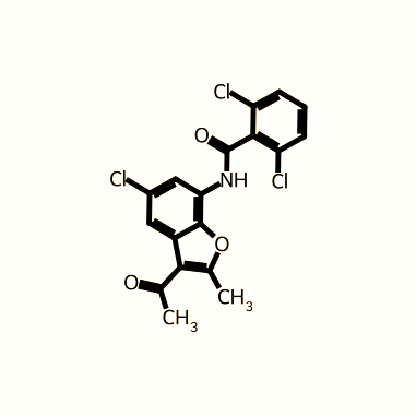 CC(=O)c1c(C)oc2c(NC(=O)c3c(Cl)cccc3Cl)cc(Cl)cc12